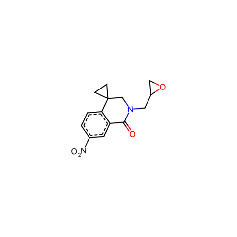 O=C1c2cc([N+](=O)[O-])ccc2C2(CC2)CN1CC1CO1